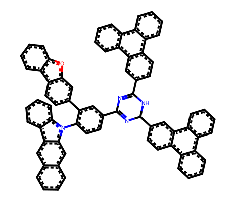 c1ccc2cc3c(cc2c1)c1ccccc1n3-c1ccc(C2=NC(c3ccc4c5ccccc5c5ccccc5c4c3)NC(c3ccc4c5ccccc5c5ccccc5c4c3)=N2)cc1-c1ccc2c(c1)oc1ccccc12